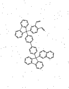 C=Cc1ccc(C2(c3ccc(-c4ccc(C5(c6ccc7ccccc7c6)c6ccccc6-c6ccccc65)cc4)cc3)c3ccccc3-c3ccccc32)cc1C=C